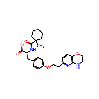 CC1(C(=O)N[C@@H](Cc2ccc(OCCc3ccc4c(n3)NCCO4)cc2)C(=O)O)CCCCC1